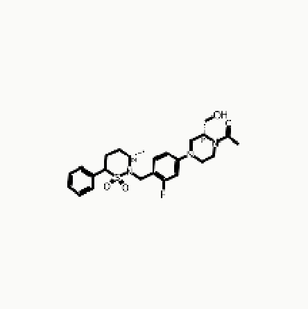 CC(=O)N1CCN(c2ccc(CN3[C@@H](C)CCC(c4ccccc4)S3(=O)=O)c(F)c2)C[C@@H]1CO